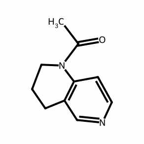 CC(=O)N1CCCc2cnccc21